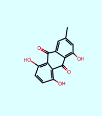 Cc1cc(O)c2c(c1)C(=O)c1c(O)ccc(O)c1C2=O